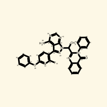 CC(c1nc2ccccc2c(=O)n1-c1ccccc1)n1nc(-c2ccc(Oc3ccccc3)nc2F)c2c(N)ncnc21